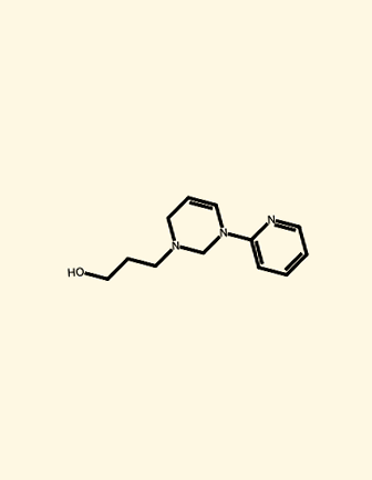 OCCCN1CC=CN(c2ccccn2)C1